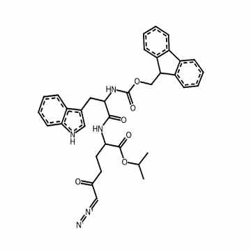 CC(C)OC(=O)C(CCC(=O)C=[N+]=[N-])NC(=O)C(Cc1c[nH]c2ccccc12)NC(=O)OCC1c2ccccc2-c2ccccc21